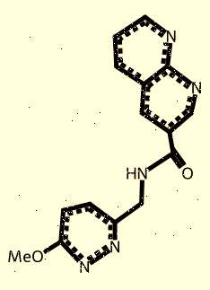 COc1ccc(CNC(=O)c2cnc3ncccc3c2)nn1